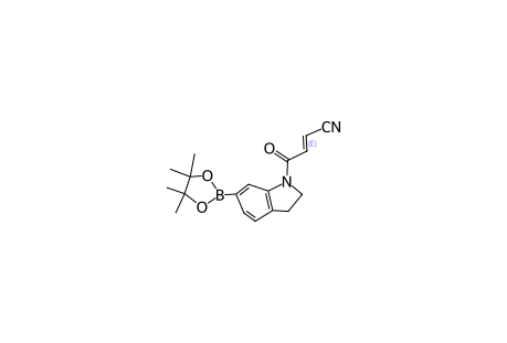 CC1(C)OB(c2ccc3c(c2)N(C(=O)/C=C/C#N)CC3)OC1(C)C